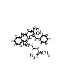 CN(C)CCCNc1nc(CN(C)S(=O)(=O)Cc2ccccc2)nc2ccccc12